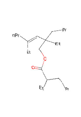 CCCC(=CC(CC)(COC(=O)C(CC)CC(C)C)CC(C)C)CC